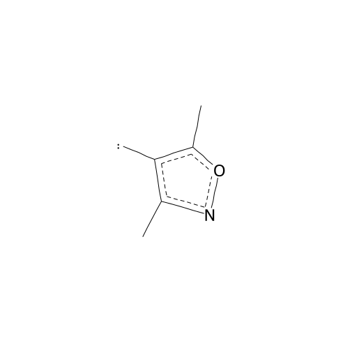 [CH]c1c(C)noc1C